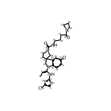 CC=C(Nc1ncc(Cl)s1)N1CC2(CCN(C(=O)NCCCC(=O)N3CCC3)C2)c2cc(Cl)ccc21